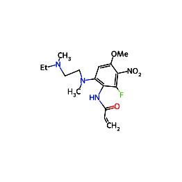 C=CC(=O)Nc1c(N(C)CCN(C)CC)cc(OC)c([N+](=O)[O-])c1F